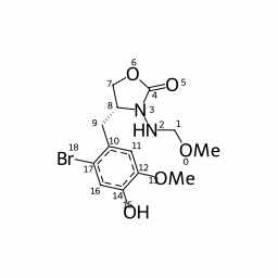 COCNN1C(=O)OC[C@H]1Cc1cc(OC)c(O)cc1Br